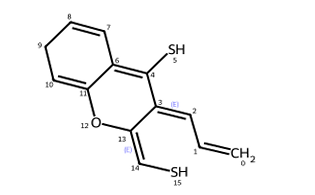 C=C/C=C1/C(S)=C2C=CCC=C2O/C1=C/S